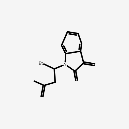 C=C(C)CC(CC)n1c(=C)c(=C)c2ccccc21